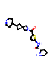 O=C(Nc1ccc(C(=O)N2CC3(CC(c4ccncc4)C3)C2)s1)[C@@H]1CCCN1